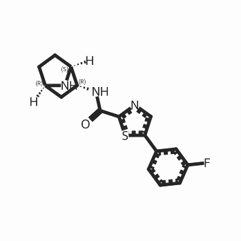 O=C(N[C@@H]1C[C@H]2CC[C@@H]1N2)c1ncc(-c2cccc(F)c2)s1